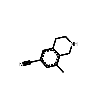 Cc1cc(C#N)cc2c1CNCC2